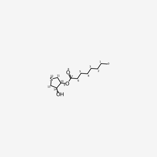 CCCCCCCC(=O)OC1CSCC1O